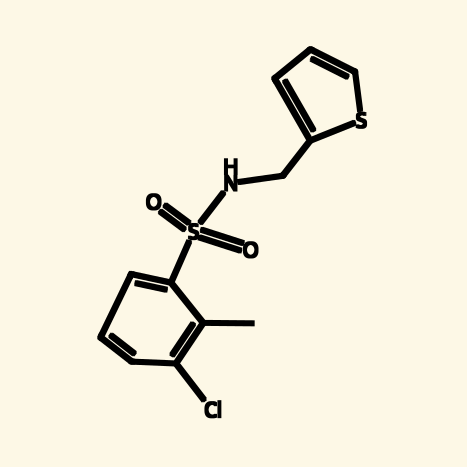 Cc1c(Cl)cccc1S(=O)(=O)NCc1cccs1